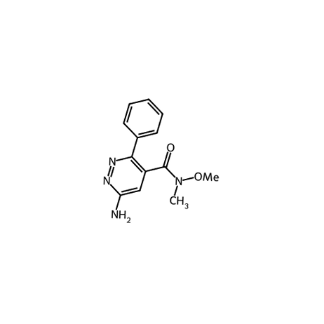 CON(C)C(=O)c1cc(N)nnc1-c1ccccc1